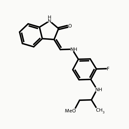 COCC(C)Nc1ccc(NC=C2C(=O)Nc3ccccc32)cc1F